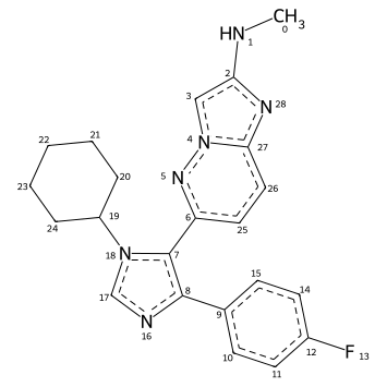 CNc1cn2nc(-c3c(-c4ccc(F)cc4)ncn3C3CCCCC3)ccc2n1